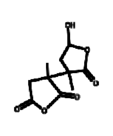 CC1(C2(C)CC(O)OC2=O)CC(=O)OC1=O